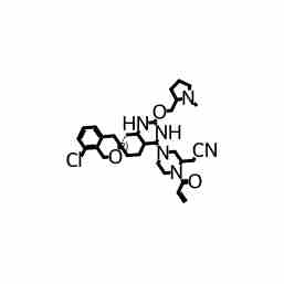 C=CC(=O)N1CCN(C2NC(OCC3CCCN3C)NC3C[C@@]4(CCC32)Cc2cccc(Cl)c2CO4)CC1CC#N